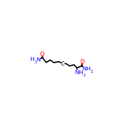 NC(=O)CCCCCCCCC(N)C(N)=O